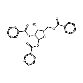 O=C(OC[C@H]1OC(OC(=O)c2ccccc2)[C@H](OC(=O)c2ccccc2)[C@@H]1O)c1ccccc1